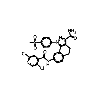 CS(=O)(=O)c1ccc(-n2nc(C(N)=O)c3c2-c2cc(NC(=O)c4cc(Cl)ncc4Cl)ccc2CC3)cc1